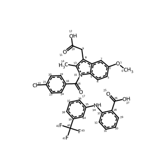 COc1ccc2c(c1)c(CC(=O)O)c(C)n2C(=O)c1ccc(Cl)cc1.O=C(O)c1ccccc1Nc1cccc(C(F)(F)F)c1